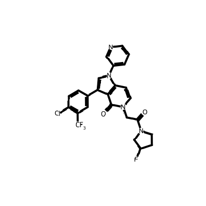 O=C(Cn1ccc2c(c(-c3ccc(Cl)c(C(F)(F)F)c3)cn2-c2cccnc2)c1=O)N1CCC(F)C1